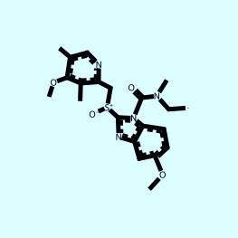 [CH2]CN(C)C(=O)n1c([S+]([O-])Cc2ncc(C)c(OC)c2C)nc2cc(OC)ccc21